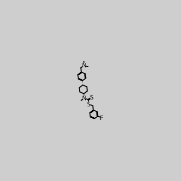 CN(C)Cc1ccc([C@H]2CC[C@H](N(C)C(=S)SCc3cccc(F)c3)CC2)cc1